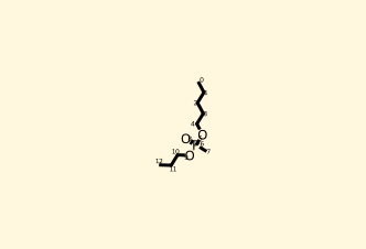 CCCCCOP(C)(=O)OCCC